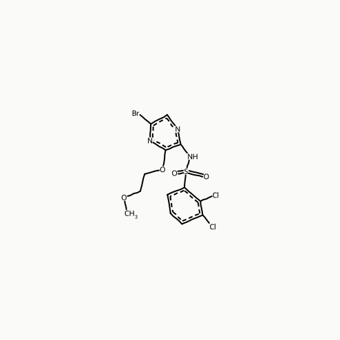 COCCOc1nc(Br)cnc1NS(=O)(=O)c1cccc(Cl)c1Cl